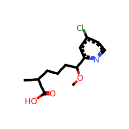 COC(CCCC(C)C(=O)O)c1cc(Cl)ccn1